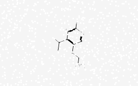 CC(C)c1cc(Cl)ncc1CCO